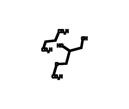 O=C(O)CCC(=O)O.O=C(O)OCC(O)CO